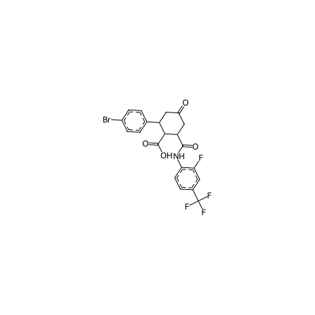 O=C1CC(C(=O)Nc2ccc(C(F)(F)F)cc2F)C(C(=O)O)C(c2ccc(Br)cc2)C1